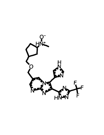 C[NH+]([O-])C1CCC(COCc2cnc3nc(-c4nc(C(F)(F)F)n[nH]4)c(-c4c[nH]cn4)n3c2)C1